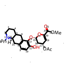 CCCN1CCCC2Cc3c(ccc(O)c3O[C@H]3C[C@@H](OC(C)=O)C=C(C(=O)OC)O3)C[C@H]21